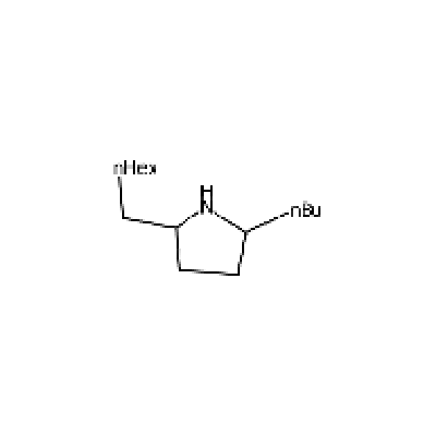 CCCCCCCC1CCC(CCCC)N1